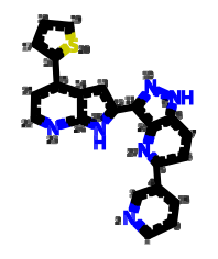 c1cncc(-c2ccc3[nH]nc(-c4cc5c(-c6cccs6)ccnc5[nH]4)c3n2)c1